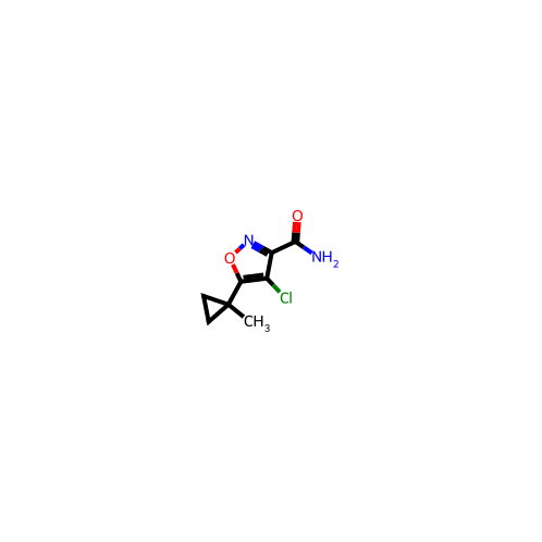 CC1(c2onc(C(N)=O)c2Cl)CC1